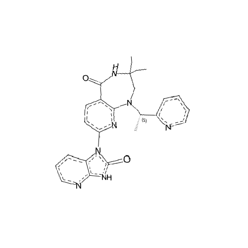 C[C@@H](c1ccccn1)N1CC(C)(C)NC(=O)c2ccc(-n3c(=O)[nH]c4ncccc43)nc21